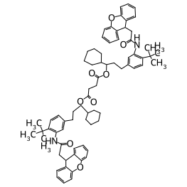 CC(C)(C)c1ccc(CCC(OC(=O)CCC(=O)OC(CCc2ccc(C(C)(C)C)c(NC(=O)CC3c4ccccc4Oc4ccccc43)c2)C2CCCCC2)C2CCCCC2)cc1NC(=O)CC1c2ccccc2Oc2ccccc21